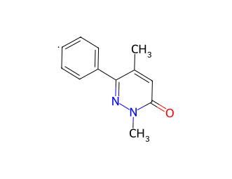 Cc1cc(=O)n(C)nc1-c1cc[c]cc1